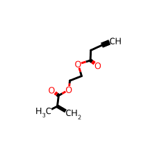 C#CCC(=O)OCCOC(=O)C(=C)C